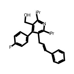 CC(C)c1nc(C(C)C)c(C/C=C/c2ccccc2)c(-c2ccc(F)cc2)c1CO